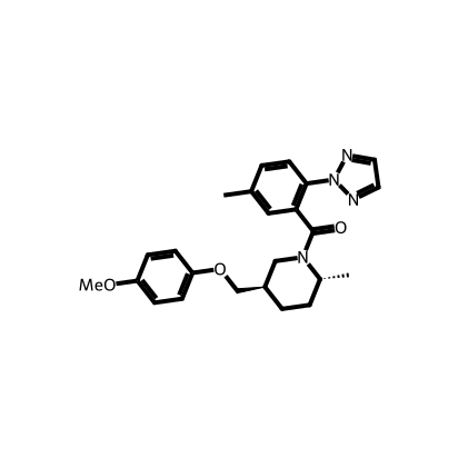 COc1ccc(OC[C@@H]2CC[C@@H](C)N(C(=O)c3cc(C)ccc3-n3nccn3)C2)cc1